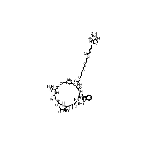 CC(C)[C@H]1NC(=O)[C@@H](CC(N)=O)NC(=O)[C@@H](CO)NC(=O)[C@@H](C(C)C)NC(=O)[C@@H](Cc2c[nH]c3ccccc23)NC(=O)[C@@H](NC(=O)COCCOCCOCCNC(=O)CCCC[C@H]2SC[C@H]3NC(=O)N[C@H]32)Cc2cn(nn2)CCCC[C@@H](C(N)=O)NC1=O